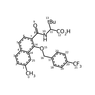 Cc1ccc2ccc(C(=O)NC(C(=O)O)C(C)(C)C)c(OCc3ccc(C(F)(F)F)cc3)c2c1